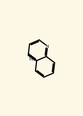 [C]1=CN=C2C=[C]N=C3C=CC=CC32N1